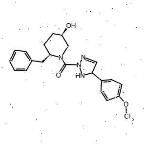 O=C(N1N=CC(c2ccc(OC(F)(F)F)cc2)N1)N1C[C@H](O)CC[C@@H]1Cc1ccccc1